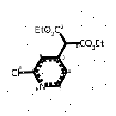 CCOC(=O)C(C(=O)OCC)c1ccnc(Cl)c1